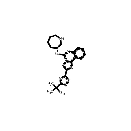 CC(C)(C)c1noc(-c2nc3c4ccccc4nc(N[C@@H]4CCCCNC4)n3n2)n1